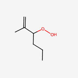 C=C(C)C(CCC)OO